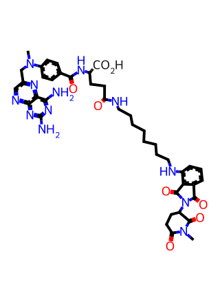 CN1C(=O)CCC(N2C(=O)c3cccc(NCCCCCCCCNC(=O)CCC(NC(=O)c4ccc(N(C)Cc5cnc6nc(N)nc(N)c6n5)cc4)C(=O)O)c3C2=O)C1=O